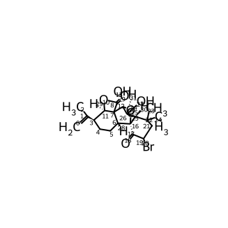 C=C(C)[C@@H]1CC[C@@H]2C3(C(=O)O[C@H]13)[C@@]1(O)OC[C@]23C(=O)C(Br)CC(C)(C)[C@H]3[C@@H]1O